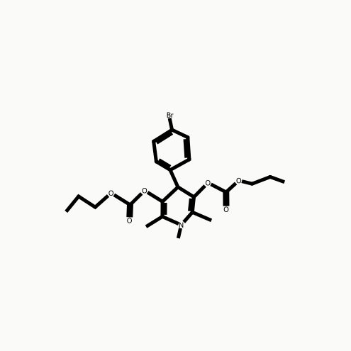 CCCOC(=O)OC1=C(C)N(C)C(C)=C(OC(=O)OCCC)C1c1ccc(Br)cc1